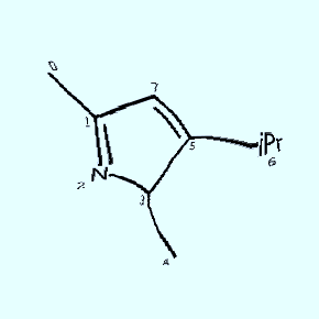 CC1=NC(C)C(C(C)C)=C1